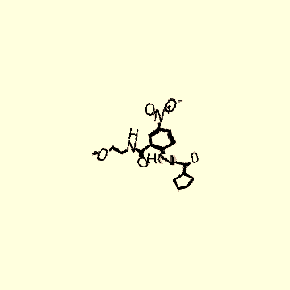 COCCNC(=O)c1cc([N+](=O)[O-])ccc1NC(=O)C1CCCC1